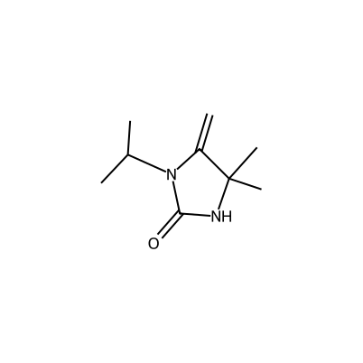 C=C1N(C(C)C)C(=O)NC1(C)C